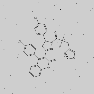 O=C(N1N=C(c2c(-c3ccc(Cl)cc3)c3ccccc3[nH]c2=O)CC1c1ccc(Cl)cc1)C(F)(F)Cc1cscn1